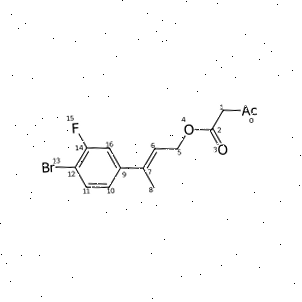 CC(=O)CC(=O)OCC=C(C)c1ccc(Br)c(F)c1